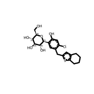 OC[C@H]1O[C@@H](c2cc(Cc3cc4c(s3)CCCC4)c(Cl)cc2O)[C@H](O)[C@@H](O)[C@@H]1O